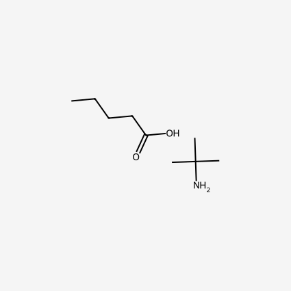 CC(C)(C)N.CCCCC(=O)O